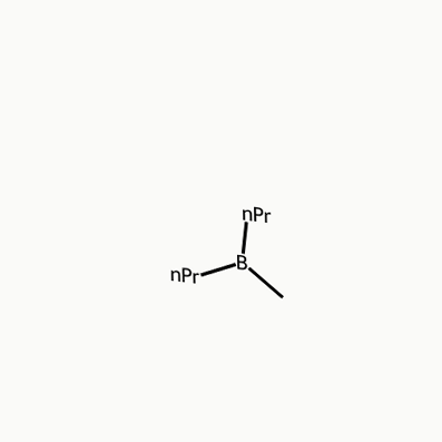 CCCB(C)CCC